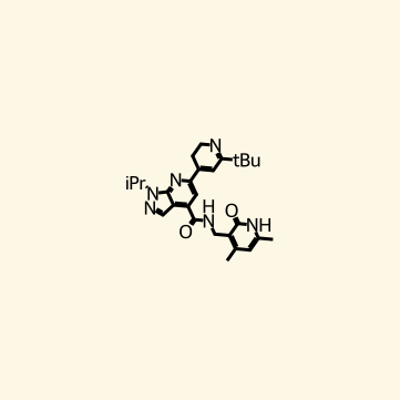 Cc1cc(C)c(CNC(=O)c2cc(C3=CC(C(C)(C)C)=NCC3)nc3c2cnn3C(C)C)c(=O)[nH]1